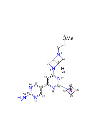 COCCN1C[C@@H]2C1CN2c1cc(-c2cnc(N)nc2)nc(N2CC3CC2C3)n1